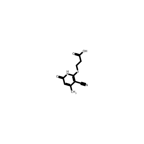 Cc1cc(=O)[nH]c(SCCC(=O)O)c1C#N